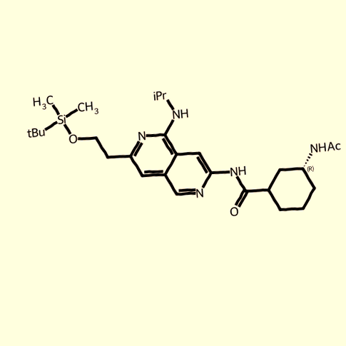 CC(=O)N[C@@H]1CCCC(C(=O)Nc2cc3c(NC(C)C)nc(CCO[Si](C)(C)C(C)(C)C)cc3cn2)C1